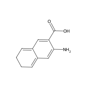 Nc1cc2c(cc1C(=O)O)=CCCC=2